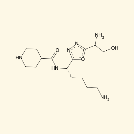 NCCCC[C@H](NC(=O)C1CCNCC1)c1nnc(C(N)CO)o1